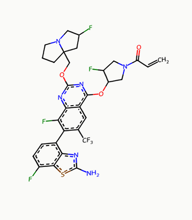 C=CC(=O)N1CC(F)C(Oc2nc(OCC34CCCN3CC(F)C4)nc3c(F)c(-c4ccc(F)c5sc(N)nc45)c(C(F)(F)F)cc23)C1